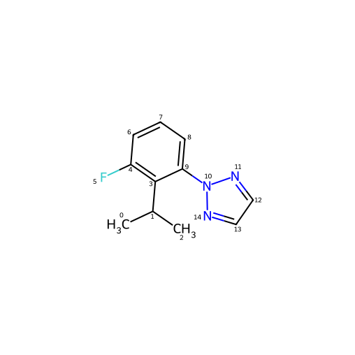 CC(C)c1c(F)cccc1-n1nccn1